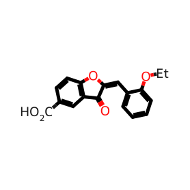 CCOc1ccccc1C=C1Oc2ccc(C(=O)O)cc2C1=O